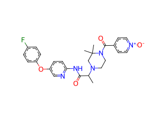 CC(C(=O)Nc1ccc(Oc2ccc(F)cc2)cn1)N1CCN(C(=O)c2cc[n+]([O-])cc2)C(C)(C)C1